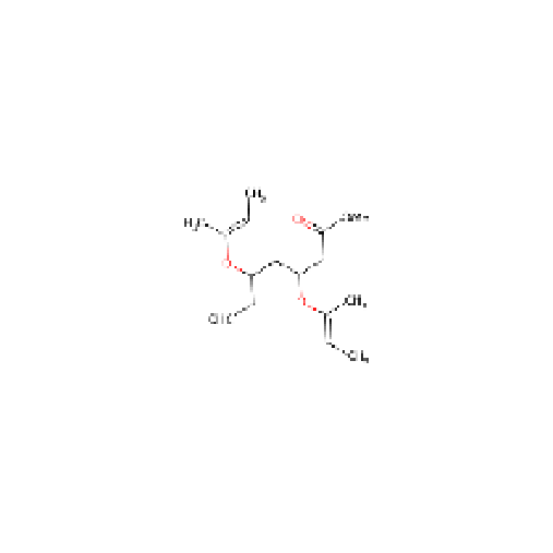 CC=C(C)OC(CC=O)CC(CC(=O)OC)OC(C)=CC